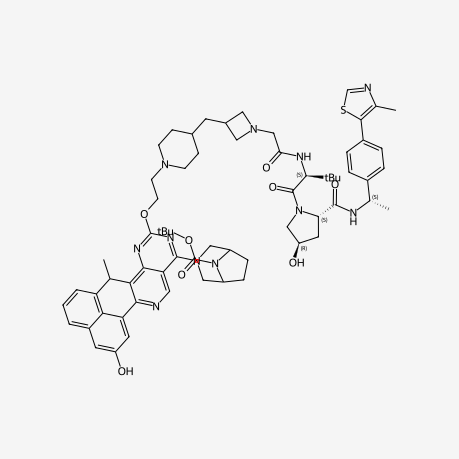 Cc1ncsc1-c1ccc([C@H](C)NC(=O)[C@@H]2C[C@@H](O)CN2C(=O)[C@@H](NC(=O)CN2CC(CC3CCN(CCOc4nc(N5CC6CCC(C5)N6C(=O)OC(C)(C)C)c5cnc6c(c5n4)C(C)c4cccc5cc(O)cc-6c45)CC3)C2)C(C)(C)C)cc1